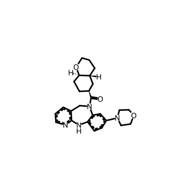 O=C([C@H]1CC[C@H]2OCCC[C@@H]2C1)N1Cc2cccnc2Nc2ccc(N3CCOCC3)cc21